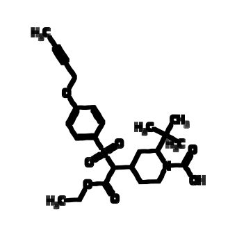 CC#CCOc1ccc(S(=O)(=O)C(C(=O)OCC)C2CCN(C(=O)O)C(C(C)(C)C)C2)cc1